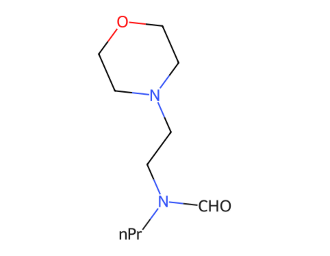 CCCN(C=O)CCN1CCOCC1